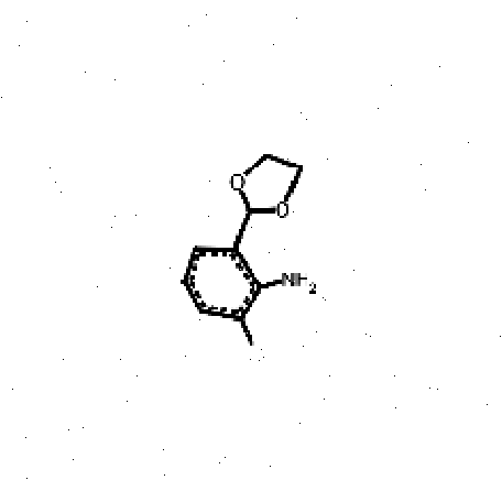 Cc1cccc(C2OCCO2)c1N